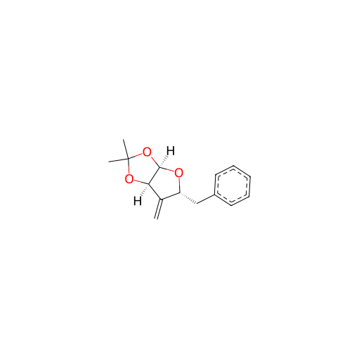 C=C1[C@H]2OC(C)(C)O[C@H]2O[C@@H]1Cc1ccccc1